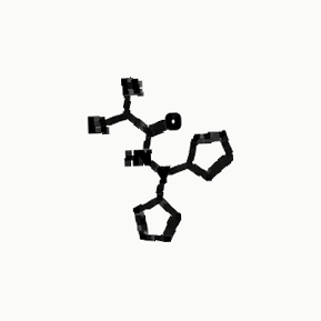 CCC(CC)C(=O)[NH][Y]([CH]1C=CC=C1)[CH]1C=CC=C1